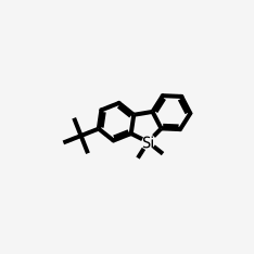 CC(C)(C)c1ccc2c(c1)[Si](C)(C)c1ccccc1-2